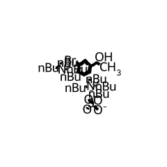 CC(O)c1cccc(Br)c1.CCCC[N+](CCCC)(CCCC)CCCC.CCCC[N+](CCCC)(CCCC)CCCC.O=S(=O)([O-])[O-]